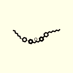 CCCCCCCC1CCC(c2ccc(CC(=O)Cc3ccc([C@H]4CC[C@H](CCCCCCC)CC4)cc3)cc2)CC1